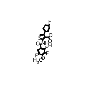 COc1c(F)cc(C(=O)Nc2scc(-c3ccc(F)cc3)c2C(=O)O)c(F)c1F